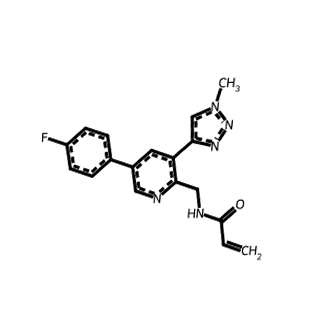 C=CC(=O)NCc1ncc(-c2ccc(F)cc2)cc1-c1cn(C)nn1